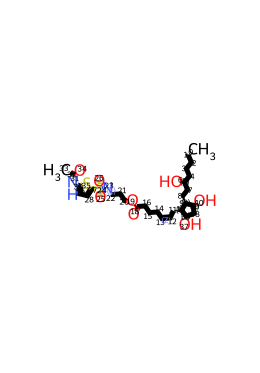 CCCCC[C@H](O)CC[C@@H]1[C@@H](C/C=C\CCCC(=O)OCC/C=N/S(=O)(=O)c2ccc(NC(C)=O)s2)[C@@H](O)C[C@H]1O